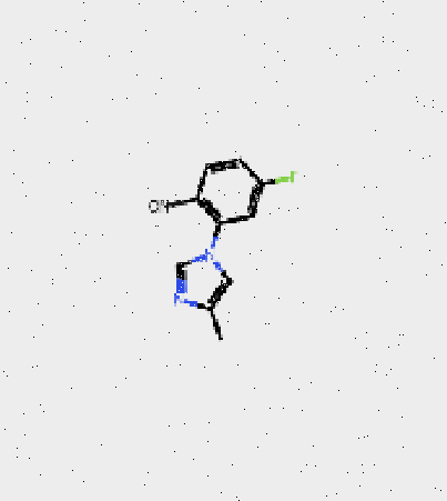 Cc1cn(-c2cc(F)ccc2N=O)cn1